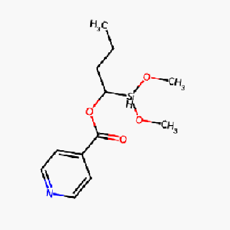 CCCC(OC(=O)c1ccncc1)[SiH](OC)OC